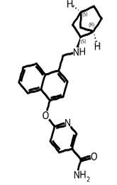 NC(=O)c1ccc(Oc2ccc(CN[C@H]3C[C@H]4CC[C@@H]3C4)c3ccccc23)nc1